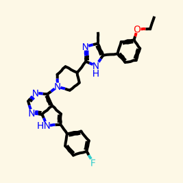 CCOc1cccc(-c2[nH]c(C3CCN(c4ncnc5[nH]c(-c6ccc(F)cc6)cc45)CC3)nc2C)c1